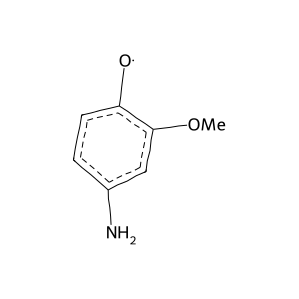 COc1cc(N)ccc1[O]